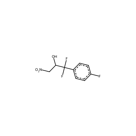 O=[N+]([O-])CC(O)C(F)(F)c1ccc(F)cc1